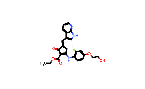 CCOC(=O)C1=C(Nc2ccc(OCCO)cc2F)C/C(=C\c2c[nH]c3ncccc23)C1=O